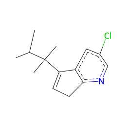 CC(C)C(C)(C)C1=CCc2ncc(Cl)cc21